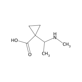 CNC(C)C1(C(=O)O)CC1